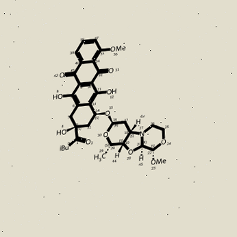 CCC(C)C(=O)[C@]1(O)Cc2c(O)c3c(c(O)c2[C@@H](O[C@H]2C[C@H]4[C@H](O[C@@H]5[C@@H](OC)OCCN54)[C@H](C)O2)C1)C(=O)c1c(OC)cccc1C3=O